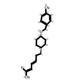 N#CC(F)=CC=CCC[C@H]1CC[C@H](OCc2ccc(C#N)cc2)CC1